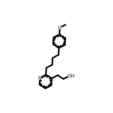 COc1ccc(CCCCc2ncccc2CCO)cc1